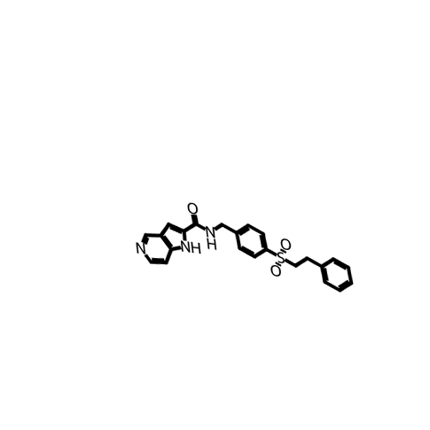 O=C(NCc1ccc(S(=O)(=O)CCc2ccccc2)cc1)c1cc2cnccc2[nH]1